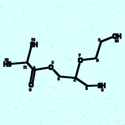 O=C(OCC(CS)OCCO)C(S)S